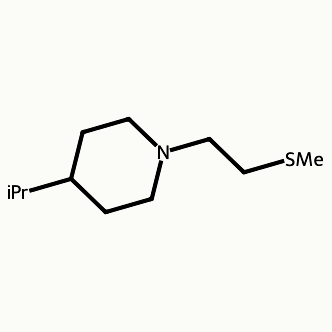 CSCCN1CCC(C(C)C)CC1